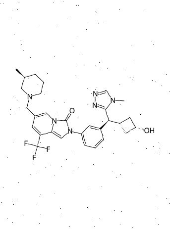 C[C@H]1CCCN(Cc2cc(C(F)(F)F)c3cn(-c4cccc([C@@H](c5nncn5C)[C@H]5C[C@@H](O)C5)c4)c(=O)n3c2)C1